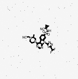 CC1CN(c2ncnc3c2c2ccc(S(=O)(=O)NC4(C#N)CC4)cc2n3-c2nnc(C(F)F)s2)CCN1CC#N